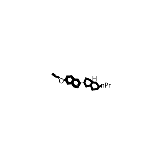 C=CCOc1ccc2cc([C@@H]3CC[C@@H]4CC(CCC)CCC4C3)ccc2c1